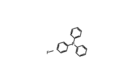 CF.c1ccc(P(c2ccccc2)c2ccccc2)cc1